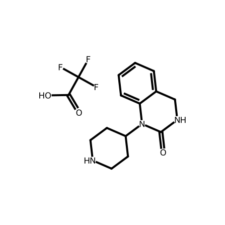 O=C(O)C(F)(F)F.O=C1NCc2ccccc2N1C1CCNCC1